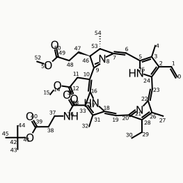 C=Cc1c(C)c2cc3nc(c(CC(=O)OC)c4[nH]c(cc5nc(cc1[nH]2)C(C)=C5CC)c(C)c4C(=O)NCCC(=O)OC(C)(C)C)[C@@H](CCC(=O)OC)[C@@H]3C